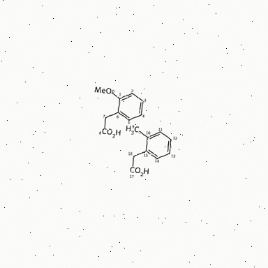 COc1ccccc1CC(=O)O.Cc1ccccc1CC(=O)O